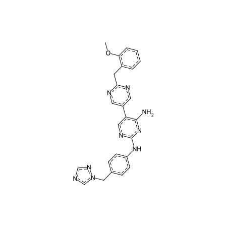 COc1ccccc1Cc1ncc(-c2cnc(Nc3ccc(Cn4cncn4)cc3)nc2N)cn1